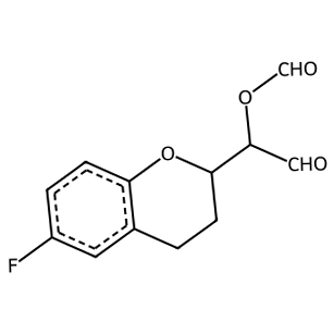 O=COC(C=O)C1CCc2cc(F)ccc2O1